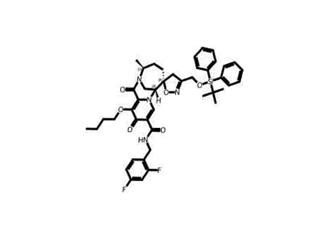 CCCCOc1c2n(cc(C(=O)NCc3ccc(F)cc3F)c1=O)[C@@H]1CN(C2=O)[C@@H](C)CC[C@@]12CC(CO[Si](c1ccccc1)(c1ccccc1)C(C)(C)C)=NO2